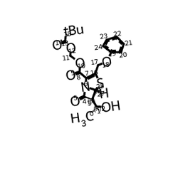 C[C@@H](O)[C@H]1C(=O)N2C(C(=O)OCOC(=O)C(C)(C)C)=C(COc3ccccc3)S[C@H]12